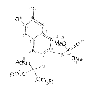 CCOC(=O)C(Cc1nc2cc(Cl)c(Cl)cc2nc1CP(=O)(OC)OC)(NC(C)=O)C(=O)OCC